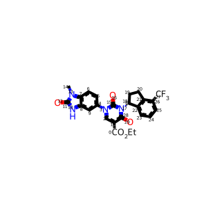 CCOC(=O)c1cn(-c2ccc3c(c2)[nH]c(=O)n3C)c(=O)n([C@@H]2CCc3c2cccc3C(F)(F)F)c1=O